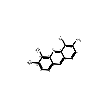 Cc1c(N)ccc2cc3ccc(N)c(C)c3nc12